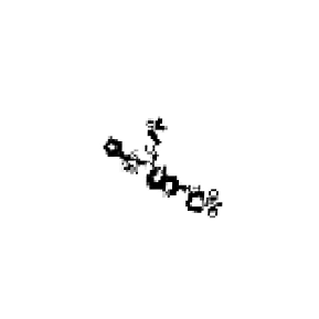 C[Si](C)(C)CCOCN(c1ccc2ncc(NC3CCCN(S(C)(=O)=O)C3)cc2n1)c1nnc(C2CCCC2)s1